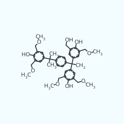 COCc1cc(C(C)(c2ccc(C(C)(C)c3cc(COC)c(O)c(COC)c3)cc2)c2cc(COC)c(O)c(COC)c2)cc(CO)c1O